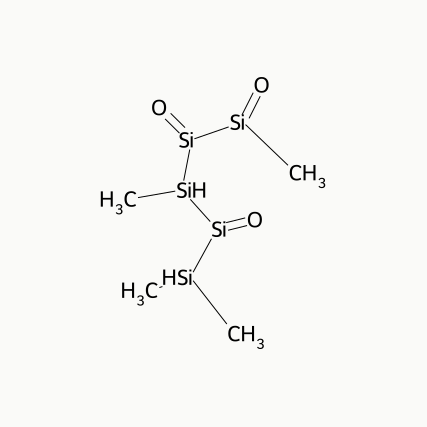 C[Si](=O)[Si](=O)[SiH](C)[Si](=O)[SiH](C)C